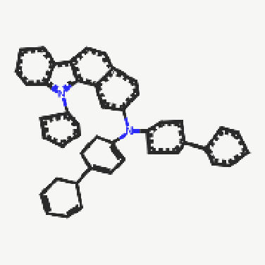 C1=CCC(C2=CC=C(N(c3ccc(-c4ccccc4)cc3)c3ccc4ccc5c6ccccc6n(-c6ccccc6)c5c4c3)CC2)C=C1